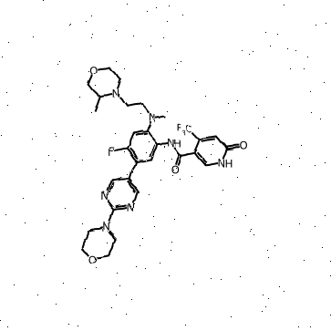 CC1COCCN1CCN(C)c1cc(F)c(-c2cnc(N3CCOCC3)nc2)cc1NC(=O)c1c[nH]c(=O)cc1C(F)(F)F